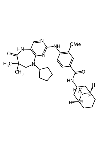 COc1cc(C(=O)NC2C[C@H]3CCC[C@@H](C2)N3C)ccc1Nc1ncc2c(n1)N(C1CCCC1)CC(C)(C)C(=O)N2